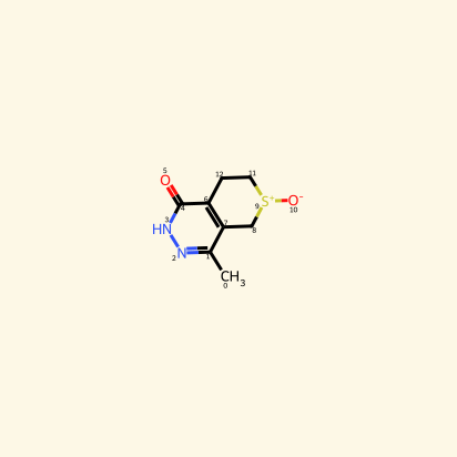 Cc1n[nH]c(=O)c2c1C[S+]([O-])CC2